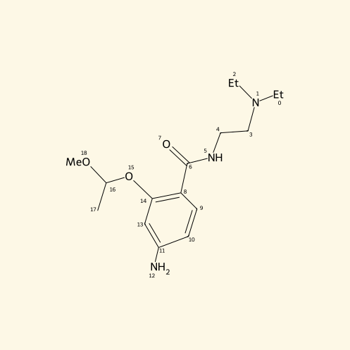 CCN(CC)CCNC(=O)c1ccc(N)cc1OC(C)OC